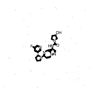 O=C(NC12C=NN3C=CC(N4CCC[C@@H]4c4cncc(F)c4)=NC1C32)N1CC[C@H](O)C1